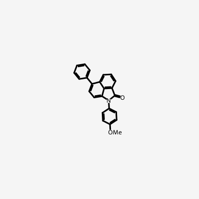 COc1ccc(N2C(=O)c3cccc4c(-c5ccccc5)ccc2c34)cc1